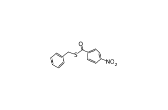 O=C(SCc1ccccc1)c1ccc([N+](=O)[O-])cc1